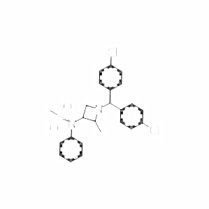 CC1C(N(c2ccccc2)S(C)(=O)=O)CN1C(c1ccc(Cl)cc1)c1ccc(Cl)cc1